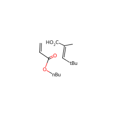 C=CC(=O)OCCCC.CC(=CC(C)(C)C)C(=O)O